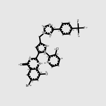 O=c1oc(-c2cc(Cn3nnc(-c4ccc(C(F)(F)F)cc4)n3)nn2-c2ncccc2Cl)nc2c(Cl)cc(Br)cc12